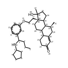 CCCC(NC1CCCC1)c1cccc(OCC[C@]23CCC4C5CCC(=O)C=C5C[C@H](C)C4C2CCC3(C)O)c1